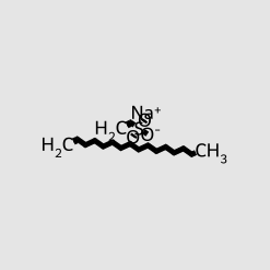 C=CCCCCCCCCCCCCCC.C=CS(=O)(=O)[O-].[Na+]